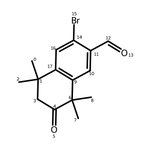 CC1(C)CC(=O)C(C)(C)c2cc(C=O)c(Br)cc21